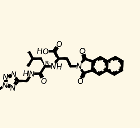 CC(C)C[C@@H](NC(CCN1C(=O)c2cc3ccccc3cc2C1=O)C(=O)O)C(=O)NCc1nnn(C)n1